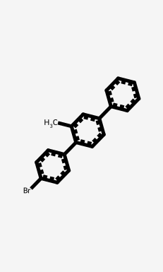 Cc1cc(-c2ccccc2)ccc1-c1ccc(Br)cc1